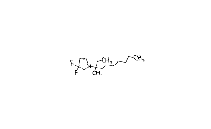 CCCCCCCC(C)(CC)N1CCC(F)(F)C1